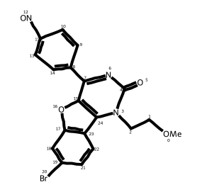 COCCn1c(=O)nc(-c2ccc(N=O)cc2)c2oc3cc(Br)ccc3c21